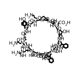 CCCC[C@H]1C(=O)N(C)[C@@H](CCCC)C(=O)N[C@@H](CCCNC(=N)N)C(=O)N[C@H](C(=O)NCC(N)=O)CSCC(=O)N[C@@H](Cc2ccc(O)cc2)C(=O)N(C)[C@@H](C)C(=O)N[C@@H](CCCN)C(=O)N2CCC[C@H]2C(=O)N[C@@H](C)C(=O)N[C@@H](CCC(=O)O)C(=O)N2C[C@H](O)C[C@H]2C(=O)N[C@@H](Cc2c[nH]c3ccccc23)C(=O)N[C@@H](CO)C(=O)N[C@@H](Cc2c[nH]c3ccccc23)C(=O)N1C